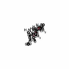 CC[C@H](C)[C@H](NC(=O)[C@H]1CCCCN1C)C(=O)N(C)[C@H](C[C@@H](OC(C)=O)c1nc(C(=O)N(C)[C@@H](Cc2ccc(OP=O)cc2)C(=O)N[C@H](CCCCN)C(=O)N[C@@H](Cc2ccccc2)C(=O)N2CCN(C(=O)CCCN3C(=O)C=CC3=O)CC2)cs1)C(C)C